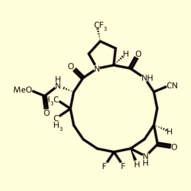 COC(=O)N[C@@H]1C(=O)N2C[C@H](C(F)(F)F)C[C@H]2C(=O)NC(C#N)C[C@@H]2C[C@H](NC2=O)C(F)(F)CCCC1(C)C